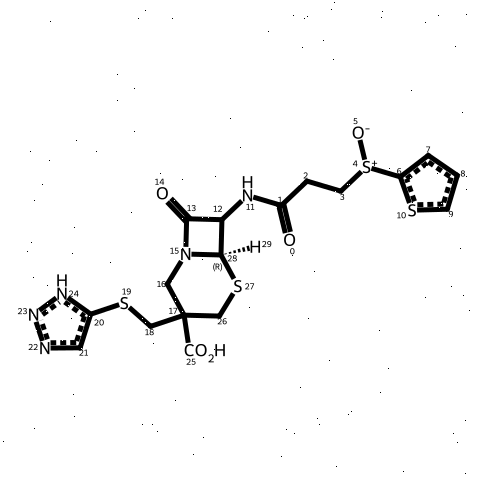 O=C(CC[S+]([O-])c1cccs1)NC1C(=O)N2CC(CSc3cnn[nH]3)(C(=O)O)CS[C@H]12